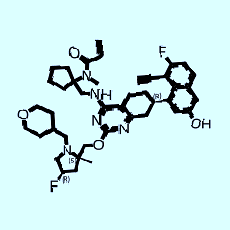 C#Cc1c(F)ccc2cc(O)cc([C@@H]3CCc4c(nc(OC[C@]5(C)C[C@@H](F)CN5CC5CCOCC5)nc4NCC4(N(C)C(=O)C=C)CCCC4)C3)c12